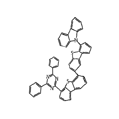 c1ccc(-c2nc(-c3ccccc3)nc(-c3cccc4c3sc3c(-c5ccc6sc7c(-n8c9ccccc9c9ccccc98)cccc7c6c5)cccc34)n2)cc1